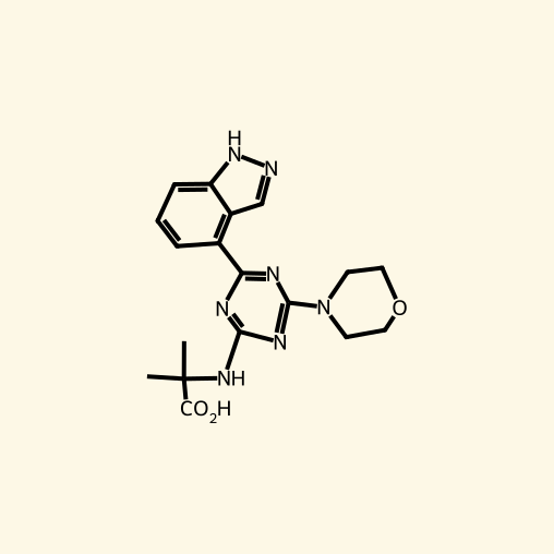 CC(C)(Nc1nc(-c2cccc3[nH]ncc23)nc(N2CCOCC2)n1)C(=O)O